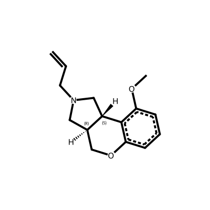 C=CCN1C[C@@H]2COc3cccc(OC)c3[C@H]2C1